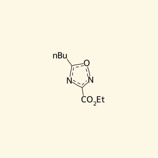 CCCCc1nc(C(=O)OCC)no1